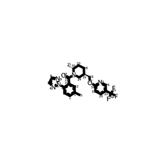 Cc1ccc(-n2nccn2)c(C(=O)N2C[C@H](COc3ccc(C(F)(F)F)cn3)CC[C@H]2C)c1